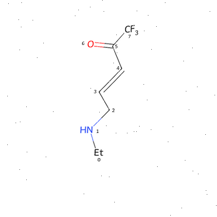 CCNCC=CC(=O)C(F)(F)F